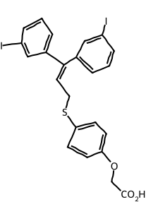 O=C(O)COc1ccc(SCC=C(c2cccc(I)c2)c2cccc(I)c2)cc1